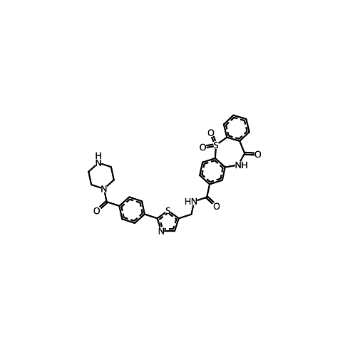 O=C(NCc1cnc(-c2ccc(C(=O)N3CCNCC3)cc2)s1)c1ccc2c(c1)NC(=O)c1ccccc1S2(=O)=O